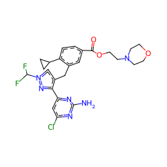 Nc1nc(Cl)cc(-c2nn(C(F)F)cc2Cc2cc(C(=O)OCCN3CCOCC3)ccc2C2CC2)n1